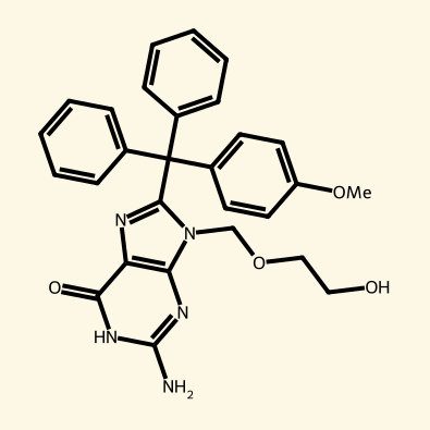 COc1ccc(C(c2ccccc2)(c2ccccc2)c2nc3c(=O)[nH]c(N)nc3n2COCCO)cc1